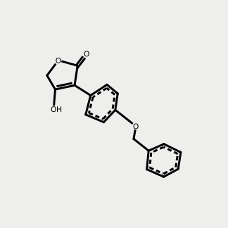 O=C1OCC(O)=C1c1ccc(OCc2ccccc2)cc1